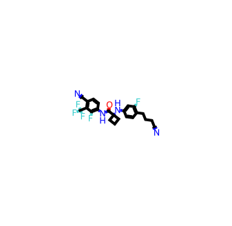 N#CCCCc1ccc(NC2(C(=O)Nc3ccc(C#N)c(C(F)(F)F)c3F)CCC2)cc1F